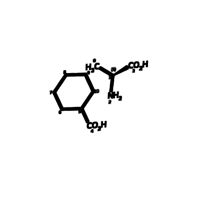 C[C@H](N)C(=O)O.O=C(O)C1CCCCC1